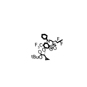 CN1[C@H](CCC(C)(F)F)CN(c2ccccc2)c2cc(C(F)(F)F)c(OC[C@@H](C(=O)OC(C)(C)C)C3CC3)cc2S1(=O)=O